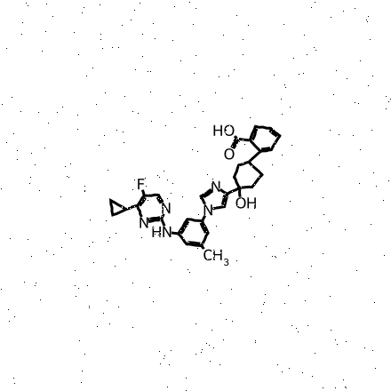 Cc1cc(Nc2ncc(F)c(C3CC3)n2)cc(-n2cnc(C3(O)CCC(c4ccccc4C(=O)O)CC3)c2)c1